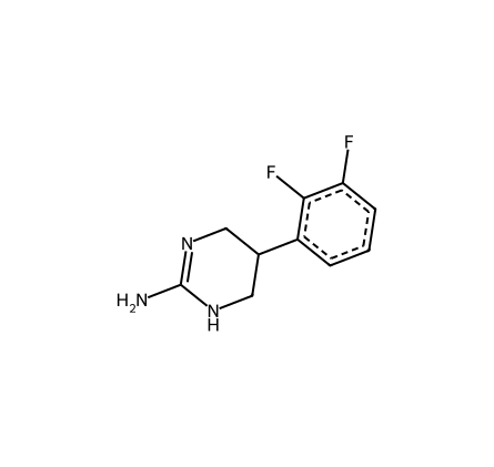 NC1=NCC(c2cccc(F)c2F)CN1